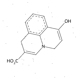 O=C(O)C1=CN2CC=C(O)c3cccc(c32)C1